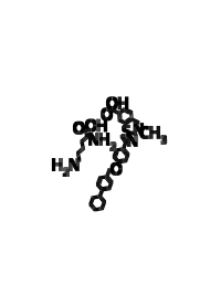 CN(Cc1ccc(C(=O)O)cc1)c1nc(-c2ccc(OCc3ccc(C4CCCCC4)cc3)cc2)cs1.NCCCCC(N)C(=O)O